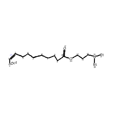 CCCCCCCC/C=C\CCCCCCCC(=O)OCCCN(CC)CC